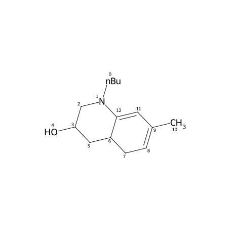 CCCCN1CC(O)CC2CC=C(C)C=C21